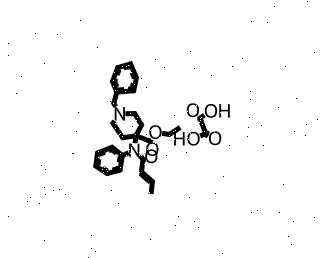 CC=CC(=O)N(c1ccccc1)C1(C(=O)OCC)CCN(Cc2ccccc2)CC1.O=C(O)C(=O)O